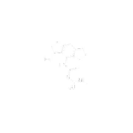 N/[SH](=O)=N\C(=O)Nc1c2c(cc3c1C(O)CC3)CCC2